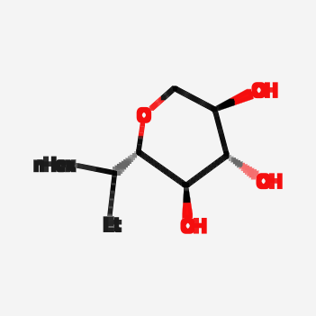 CCCCCCC(CC)[C@@H]1OC[C@@H](O)[C@H](O)[C@H]1O